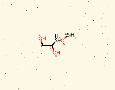 OCC(O)[SiH2]O[SiH3]